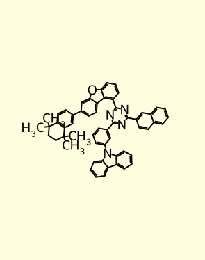 CC1(C)CCC(C)(C)c2cc(-c3ccc4c(c3)oc3cccc(-c5nc(-c6cccc(-n7c8ccccc8c8ccccc87)c6)nc(-c6ccc7ccccc7c6)n5)c34)ccc21